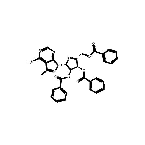 Nc1ncnc2c1c(I)nn2[C@@H]1O[C@H](COC(=O)c2ccccc2)[C@@H](OC(=O)c2ccccc2)[C@H]1OC(=O)c1ccccc1